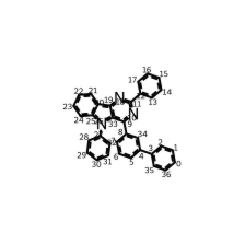 c1ccc(-c2cccc(-c3nc(-c4ccccc4)nc4c5ccccc5n(-c5ccccc5)c34)c2)cc1